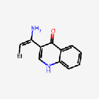 CC/C=C(/N)c1c[nH]c2ccccc2c1=O